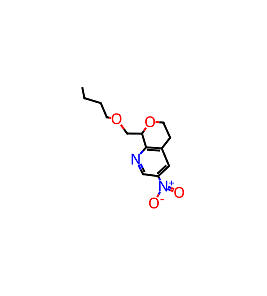 CCCCOCC1OCCc2cc([N+](=O)[O-])cnc21